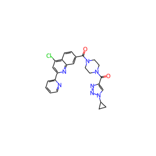 O=C(c1ccc2c(Cl)cc(-c3ccccn3)nc2c1)N1CCN(C(=O)c2cn(C3CC3)nn2)CC1